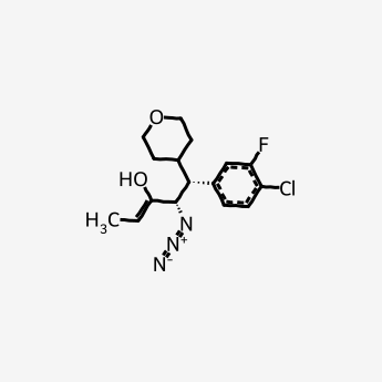 CC=C(O)[C@@H](N=[N+]=[N-])[C@@H](c1ccc(Cl)c(F)c1)C1CCOCC1